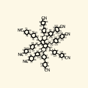 N#Cc1ccc(-c2ccc(CCc3c(CCc4ccc(-c5ccc(C#N)cc5)cc4)c(CCc4ccc(-c5ccc(C#N)cc5)cc4)c4c(CCc5ccc(-c6ccc(C#N)cc6)cc5)c(CCc5ccc(-c6ccc(C#N)cc6)cc5)c(CCc5ccc(-c6ccc(C#N)cc6)cc5)c(CCc5ccc(-c6ccc(C#N)cc6)cc5)c4c3CCc3ccc(-c4ccc(C#N)cc4)cc3)cc2)cc1